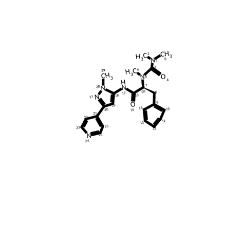 CN(C)C(=O)N(C)[C@@H](Cc1ccccc1)C(=O)Nc1cc(-c2ccncc2)nn1C